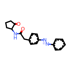 O=C(Cc1ccc(/N=N/c2ccccc2)cc1)NC1CCCC1=O